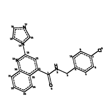 O=C(NCc1ccc(Cl)cc1)c1cc(-n2ccnc2)nc2ccccc12